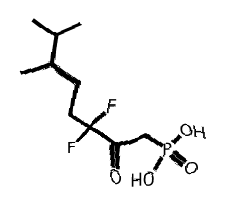 CC(C)C(C)CCC(F)(F)C(=O)CP(=O)(O)O